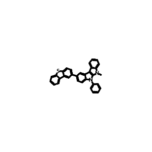 Cn1c2ccccc2c2c3cc(-c4ccc5sc6ccccc6c5c4)ccc3n(-c3ccccc3)c21